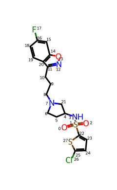 O=S(=O)(NC1CCN(CCCc2noc3cc(F)ccc23)C1)c1ccc(Cl)s1